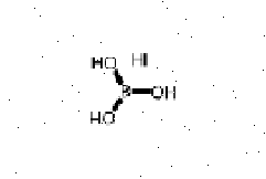 I.OB(O)O